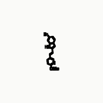 COc1ccc(C=Cc2cc3ccc(Br)cc3[nH]2)cn1